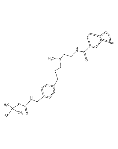 CN(CCCc1ccc(CNC(=O)OC(C)(C)C)cc1)CCNC(=O)c1ccc2cc[nH]c2c1